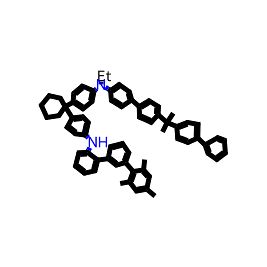 CCN(c1ccc(-c2ccc(C(C)(C)c3ccc(-c4ccccc4)cc3)cc2)cc1)c1ccc(C2(c3ccc(Nc4ccccc4-c4cccc(-c5c(C)cc(C)cc5C)c4)cc3)CCCCC2)cc1